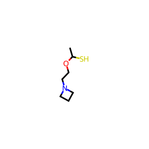 CC(S)OCCN1CCC1